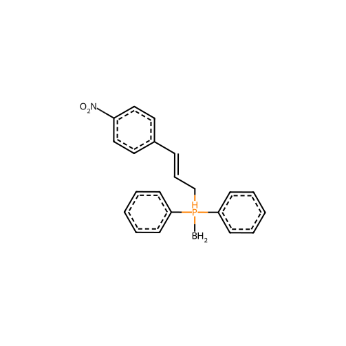 B[PH](C/C=C/c1ccc([N+](=O)[O-])cc1)(c1ccccc1)c1ccccc1